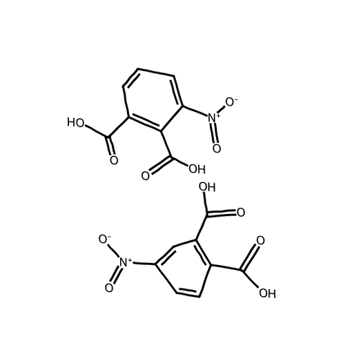 O=C(O)c1ccc([N+](=O)[O-])cc1C(=O)O.O=C(O)c1cccc([N+](=O)[O-])c1C(=O)O